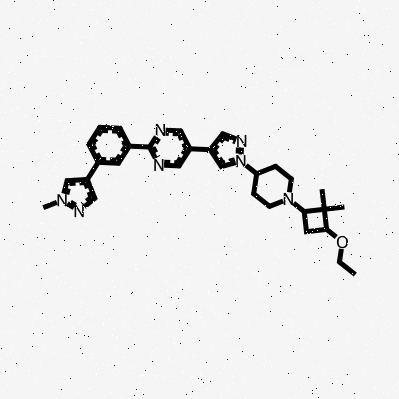 CCOC1CC(N2CCC(n3cc(-c4cnc(-c5cccc(-c6cnn(C)c6)c5)nc4)cn3)CC2)C1(C)C